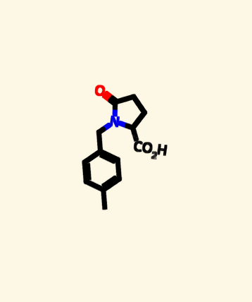 Cc1ccc(CN2C(=O)CCC2C(=O)O)cc1